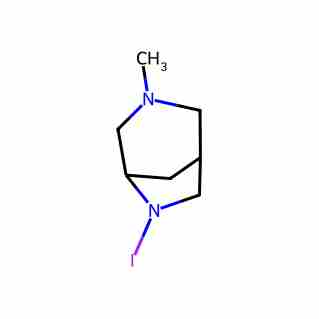 CN1CC2CC(C1)N(I)C2